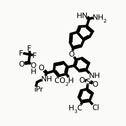 Cc1ccc(S(=O)(=O)Nc2ccc(Oc3ccc4cc(C(=N)N)ccc4c3)c(-c3ccc(C(=O)NCC(C)C)cc3C(=O)O)c2)cc1Cl.O=C(O)C(F)(F)F